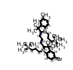 Cc1ccc2c(c1)C(C)(C)/C(=C/C=C/C1=[N+](CCC[N+](C)(C)C)c3ccc(Br)cc3C1(C)C)N2CCC[N+](C)(C)C